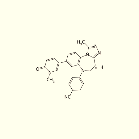 Cc1nnc2n1-c1ccc(-c3ccc(=O)n(C)c3)cc1N(c1ccc(C#N)cc1)C[C@H]2I